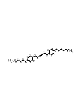 CCCCCCc1ccc(C=CC#CC=Cc2ccc(CCCCCC)cc2)cc1